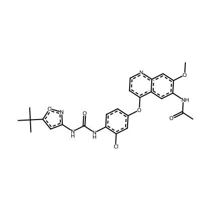 COc1cc2nccc(Oc3ccc(NC(=O)Nc4cc(C(C)(C)C)on4)c(Cl)c3)c2cc1NC(C)=O